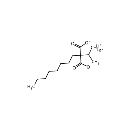 CCCCCCCCC(C(=O)[O-])(C(=O)[O-])C(C)C.[K+].[Li+]